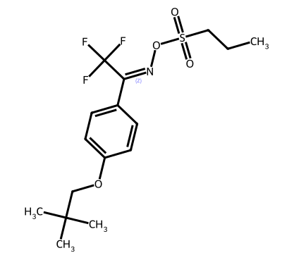 CCCS(=O)(=O)O/N=C(/c1ccc(OCC(C)(C)C)cc1)C(F)(F)F